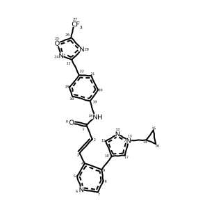 O=C(C=Cc1cnccc1-c1cnn(C2CC2)c1)Nc1ccc(-c2noc(C(F)(F)F)n2)cc1